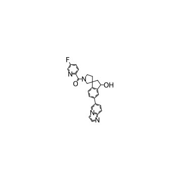 O=C(c1ccc(F)cn1)N1CCC2(CC(O)c3cc(-c4ccc5nccn5c4)ccc32)C1